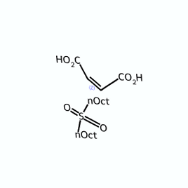 CCCCCCCCS(=O)(=O)CCCCCCCC.O=C(O)/C=C\C(=O)O